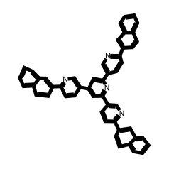 c1ccc2cc(-c3ccc(-c4cc(-c5ccc(-c6ccc7ccccc7c6)nc5)nc(-c5ccc(-c6ccc7ccccc7c6)nc5)c4)cn3)ccc2c1